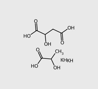 CC(O)C(=O)O.O=C(O)CC(O)C(=O)O.[KH].[KH]